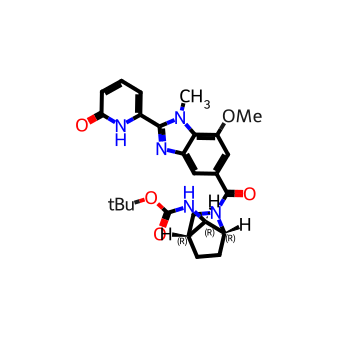 COc1cc(C(=O)N2C[C@H]3CC[C@@H]2[C@@H]3NC(=O)OC(C)(C)C)cc2nc(-c3cccc(=O)[nH]3)n(C)c12